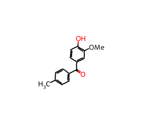 COc1cc(C(=O)c2ccc(C)cc2)ccc1O